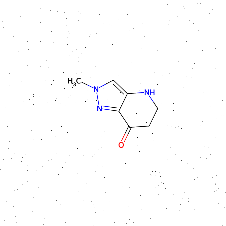 Cn1cc2c(n1)C(=O)CCN2